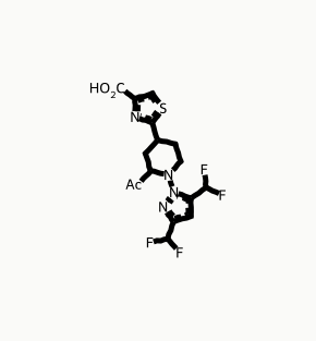 CC(=O)C1CC(c2nc(C(=O)O)cs2)CCN1n1nc(C(F)F)cc1C(F)F